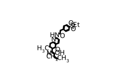 C=N/C(=C(O)\C=C/C)C1C(=O)c2ccc(NC(=O)Cc3ccc(S(=O)(=O)CC)cc3)nc2CC1C